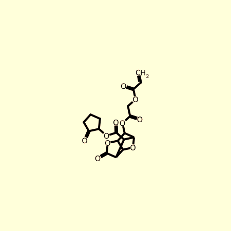 C=CC(=O)OCC(=O)OC1C2OC(=O)C3C2OC1C3C(=O)OC1CCCC1=O